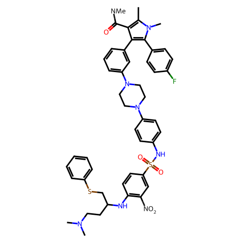 CNC(=O)c1c(-c2cccc(N3CCN(c4ccc(NS(=O)(=O)c5ccc(NC(CCN(C)C)CSc6ccccc6)c([N+](=O)[O-])c5)cc4)CC3)c2)c(-c2ccc(F)cc2)n(C)c1C